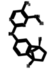 CCNc1nc(Nc2ccc3c(c2)[C@H]2CC[C@H]3N2)ncc1C(F)(F)F